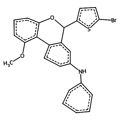 COc1cccc2c1-c1ccc(Nc3ccccc3)cc1C(c1ccc(Br)s1)O2